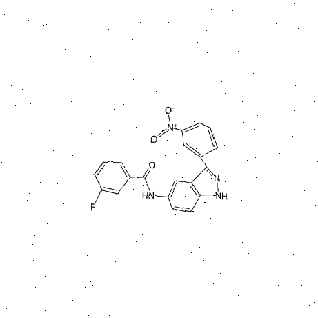 O=C(Nc1ccc2[nH]nc(-c3cccc([N+](=O)[O-])c3)c2c1)c1cccc(F)c1